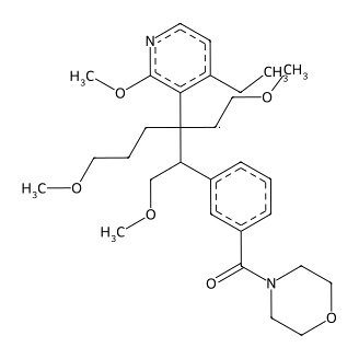 CCc1ccnc(OC)c1C([CH]COC)(CCCOC)C(COC)c1cccc(C(=O)N2CCOCC2)c1